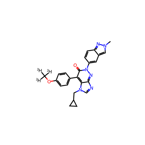 [2H]C([2H])([2H])Oc1ccc(-c2c(=O)n(-c3ccc4nn(C)cc4c3)nc3ncn(CC4CC4)c23)cc1